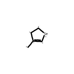 CC1=C[Se]CC1